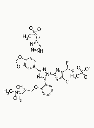 CS(=O)(=O)[O-].CS(=O)(=O)[O-].C[N+](C)(C)CCCOc1ccccc1-n1nc(-c2ccc3c(c2)OCO3)n[n+]1-c1nc(C(F)F)c(Cl)s1.c1nnn[nH]1